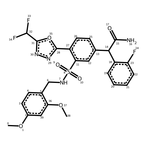 COc1ccc(CNS(=O)(=O)c2cc(C(C(N)=O)c3ccccc3F)ccc2-c2nnc(C(F)F)o2)c(OC)c1